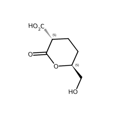 O=C(O)[C@@H]1CC[C@@H](CO)OC1=O